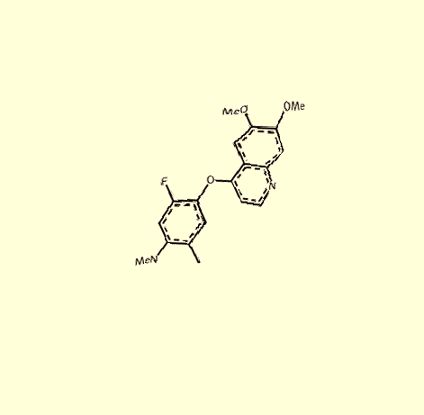 CNc1cc(F)c(Oc2ccnc3cc(OC)c(OC)cc23)cc1C